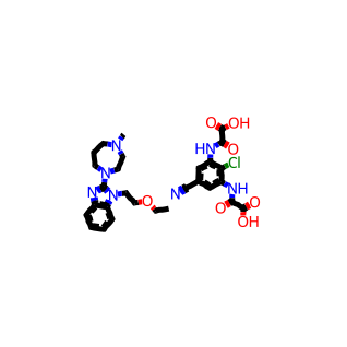 CCOCCn1c(N2CCCN(C)CC2)nc2ccccc21.N#Cc1cc(NC(=O)C(=O)O)c(Cl)c(NC(=O)C(=O)O)c1